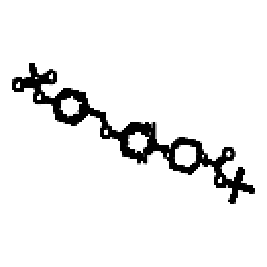 CC(C)(C)OC(=O)N1CCN(c2ncc(OCc3ccc(OS(C)(=O)=O)cc3)cn2)CC1